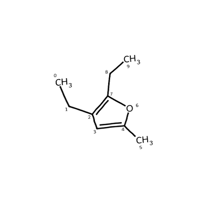 CCc1cc(C)oc1CC